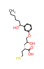 CCCCCC(O)c1cccc(OCC(O)C[C@@H](CCS)C(=O)O)c1